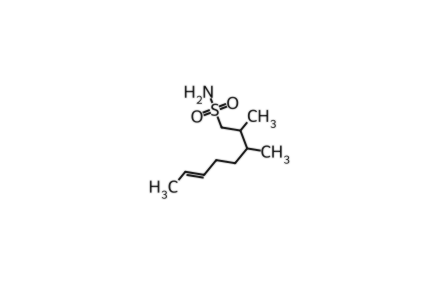 CC=CCCC(C)C(C)CS(N)(=O)=O